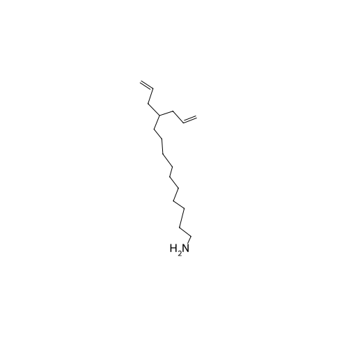 C=CCC(CC=C)CCCCCCCCCCN